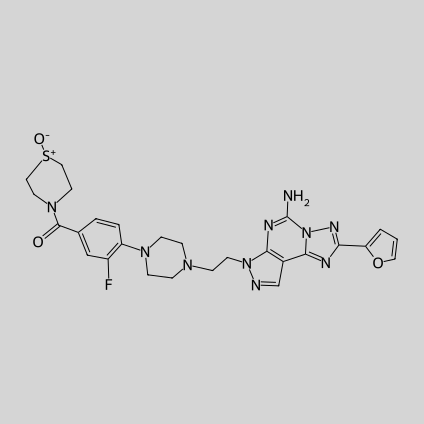 Nc1nc2c(cnn2CCN2CCN(c3ccc(C(=O)N4CC[S+]([O-])CC4)cc3F)CC2)c2nc(-c3ccco3)nn12